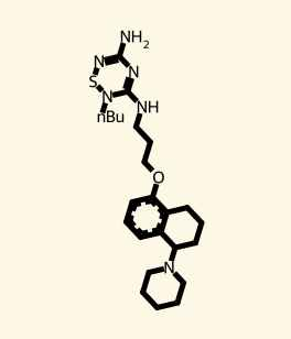 CCCCN1SN=C(N)N=C1NCCCOc1cccc2c1CCCC2N1CCCCC1